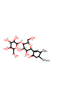 CCCCCC1CC(=O)C(C2OC(CO)C(OC3OC(CO)C(O)C(O)C3O)C(O)C2O)=CC1CCCC